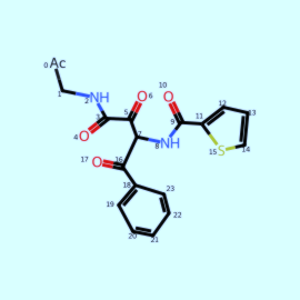 CC(=O)CNC(=O)C(=O)C(NC(=O)c1cccs1)C(=O)c1ccccc1